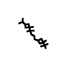 CC(C)N1CC(C)(C(C)(C)CCCN2CC(C)(C(C)(C)C)C2)C1